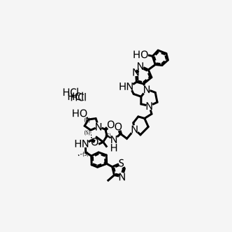 Cc1ncsc1-c1ccc([C@H](C)NC(=O)[C@@H]2C[C@@H](O)CN2C(=O)[C@@H](NC(=O)CN2CCC(CN3CCN4c5cc(-c6ccccc6O)nnc5NCC4C3)CC2)C(C)(C)C)cc1.Cl.Cl.Cl